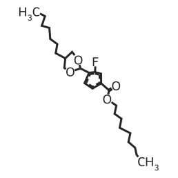 CCCCCCCCCOC(=O)c1ccc(C2OCC(CCCCCCC)CO2)c(F)c1